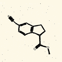 COC(=O)C1CCc2cc(C#N)ccc21